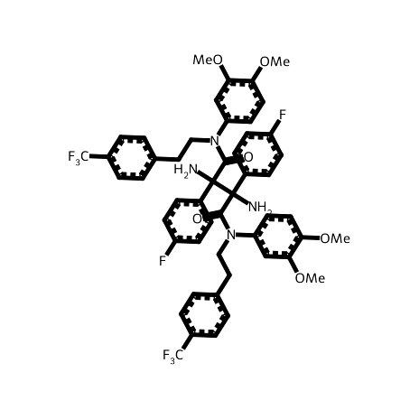 COc1ccc(N(CCc2ccc(C(F)(F)F)cc2)C(=O)C(N)(c2ccc(F)cc2)C(N)(C(=O)N(CCc2ccc(C(F)(F)F)cc2)c2ccc(OC)c(OC)c2)c2ccc(F)cc2)cc1OC